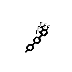 CC1CCC(C2CC=C(c3ccc(F)c(C(F)(F)F)c3F)CC2)CC1